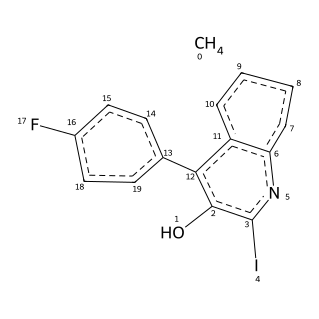 C.Oc1c(I)nc2ccccc2c1-c1ccc(F)cc1